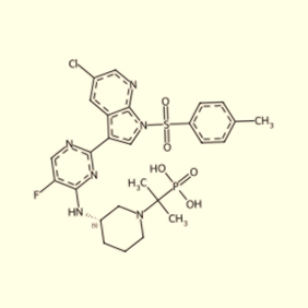 Cc1ccc(S(=O)(=O)n2cc(-c3ncc(F)c(N[C@H]4CCCN(C(C)(C)P(=O)(O)O)C4)n3)c3cc(Cl)cnc32)cc1